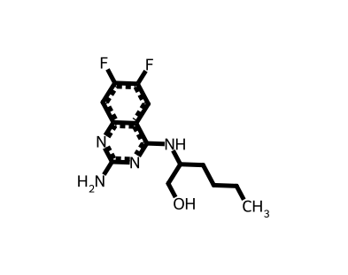 CCCCC(CO)Nc1nc(N)nc2cc(F)c(F)cc12